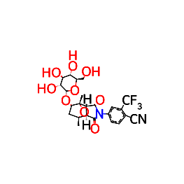 C[C@@]12O[C@@](C)(C[C@H]1O[C@H]1O[C@H](CO)[C@@H](O)[C@H](O)[C@H]1O)[C@@H]1C(=O)N(c3ccc(C#N)c(C(F)(F)F)c3)C(=O)[C@H]12